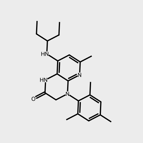 CCC(CC)Nc1cc(C)nc2c1NC(=O)CN2c1c(C)cc(C)cc1C